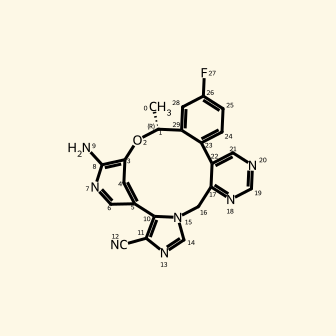 C[C@H]1Oc2cc(cnc2N)-c2c(C#N)ncn2Cc2ncncc2-c2ccc(F)cc21